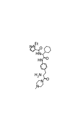 CCn1nccc1C(=O)N[C@H](C(=O)Nc1ccc(C[C@@H](N)C(=O)N2CCN(C)CC2)cc1)C1CCCCC1